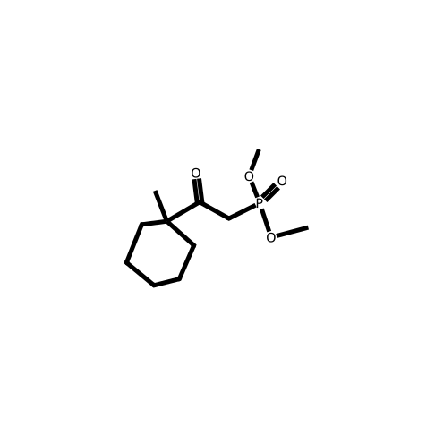 COP(=O)(CC(=O)C1(C)CCCCC1)OC